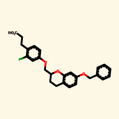 CCOC(=O)CCc1ccc(OCC2CCc3ccc(OCc4ccccc4)cc3O2)cc1F